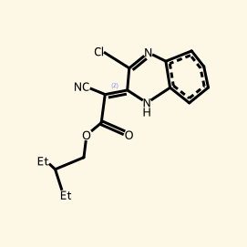 CCC(CC)COC(=O)/C(C#N)=C1\Nc2ccccc2N=C1Cl